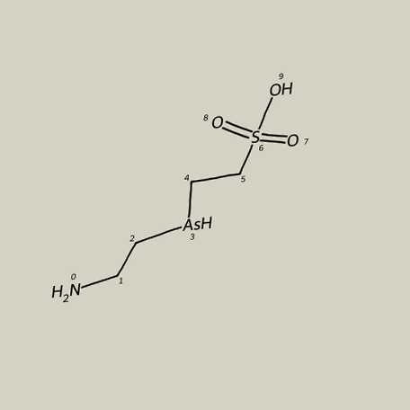 NCC[AsH]CCS(=O)(=O)O